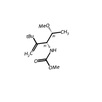 C=C([C@@H](NC(=O)OC)[C@@H](C)OC)C(C)(C)C